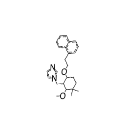 COC1C(Cn2ccnc2)C(OCCc2cccc3ccccc23)CCC1(C)C